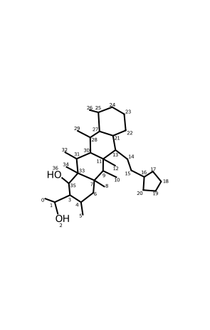 CC(O)C1C(C)CC2(C)C(C)C3(C)C(CCC4CCCC4)C4CCCC(C)C4C(C)C3C(C)C2(C)C1O